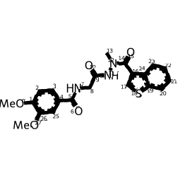 COc1ccc(C(=O)NCC(=O)NN(C)C(=O)c2csc3ccccc23)cc1OC